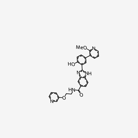 COc1ncccc1-c1ccc(O)c(-c2nc3cc(C(=O)NCCOc4cccnc4)ccc3[nH]2)c1